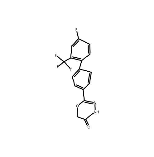 O=C1COC(c2ccc(-c3ccc(F)cc3C(F)(F)F)cc2)=NN1